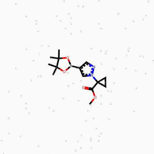 COC(=O)C1(n2cc(B3OC(C)(C)C(C)(C)O3)cn2)CC1